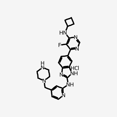 Cl.Fc1c(NC2CCC2)ncnc1-c1ccc2nc(Nc3cc(CN4CCNCC4)ccn3)[nH]c2c1